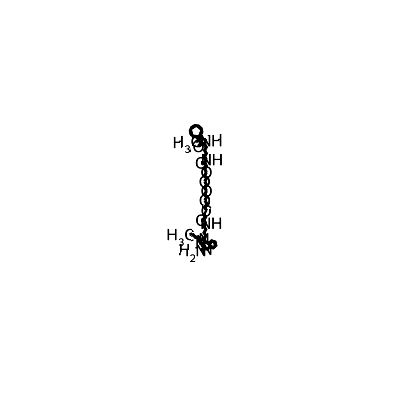 CCCCc1nc2c(N)nc3ccccc3c2n1CCCCNC(=O)CCOCCOCCOCCOCCOCCC(=O)NCCCCC1NC2c3ccccccccc3C2(C)C1=O